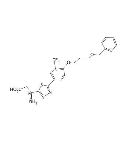 N[C@@H](CC(=O)O)c1nnc(-c2ccc(OCCCOCc3ccccc3)c(C(F)(F)F)c2)s1